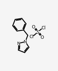 O=S(=O)(Cl)Cl.c1ccc(Cn2cccn2)cc1